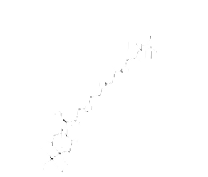 C[SH](C)NCCOCCOCCOCCC(=O)N1CCC(C)(C(C)(C)C)CC1